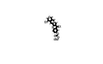 CCc1c2c(nc3ccc(OC(=O)OC(C)(C)C)cc13)C1=CC3=C(COC[C@H]3CC)CN1C2